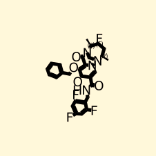 C[C@@H]1C[C@H](F)[C@H](C)N2CN1n1cc(C(=O)NCc3c(F)cc(F)cc3F)c(=O)c(OCc3ccccc3)c1C2=O